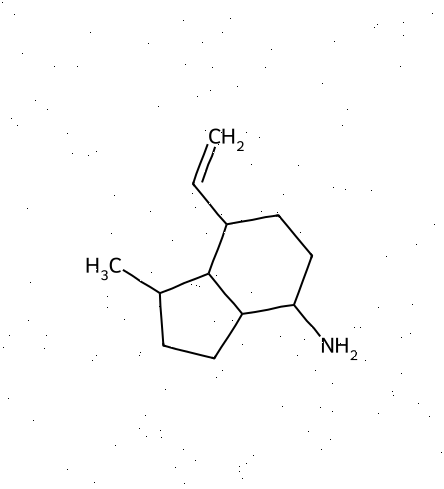 C=CC1CCC(N)C2CCC(C)C12